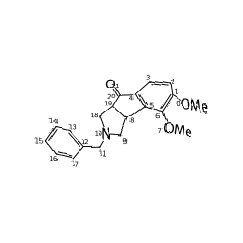 COc1ccc2c(c1OC)C1CN(Cc3ccccc3)CC1C2=O